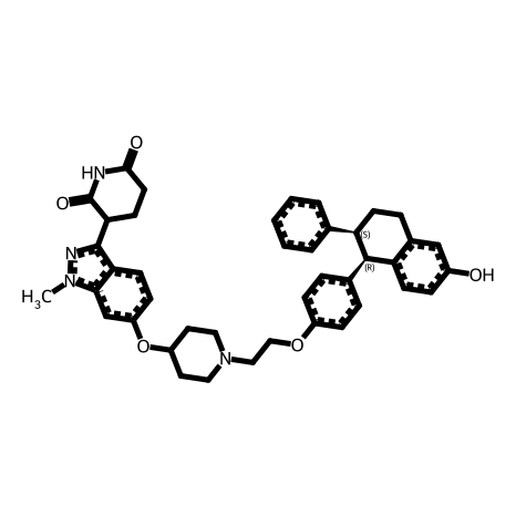 Cn1nc(C2CCC(=O)NC2=O)c2ccc(OC3CCN(CCOc4ccc([C@@H]5c6ccc(O)cc6CC[C@@H]5c5ccccc5)cc4)CC3)cc21